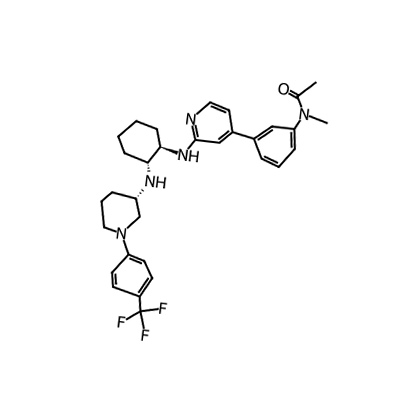 CC(=O)N(C)c1cccc(-c2ccnc(N[C@@H]3CCCC[C@H]3N[C@H]3CCCN(c4ccc(C(F)(F)F)cc4)C3)c2)c1